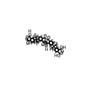 O=C(O)c1ccc(C(c2ccc(C(=O)OC(=O)c3ccc(C(c4ccc(C(=O)O)c(C(=O)O)c4)(C(F)(F)F)C(F)(F)F)cc3C(=O)O)c(C(=O)O)c2)(C(F)(F)F)C(F)(F)F)cc1C(=O)O